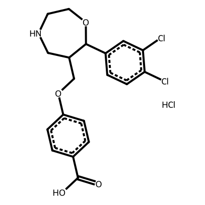 Cl.O=C(O)c1ccc(OCC2CNCCOC2c2ccc(Cl)c(Cl)c2)cc1